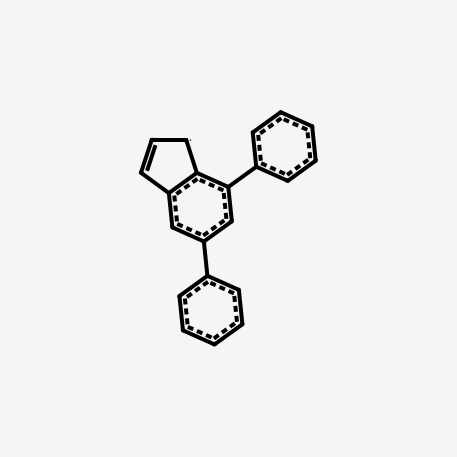 [CH]1C=Cc2cc(-c3ccccc3)cc(-c3ccccc3)c21